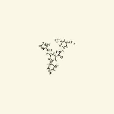 Cc1cc(C)cc(CNC(=O)c2cc(CNC3=NCCN3)cc(-c3ccc(F)cc3Cl)c2)c1